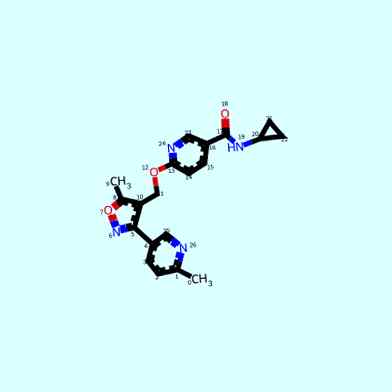 Cc1ccc(-c2noc(C)c2COc2ccc(C(=O)NC3CC3)cn2)cn1